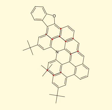 CC(C)(C)c1cc(-c2cccc3cccc(-c4ccccc4N(c4ccccc4-c4ccc5c(c4)oc4ccccc45)c4cc(C(C)(C)C)ccc4-c4ccccc4)c23)cc(C(C)(C)C)c1